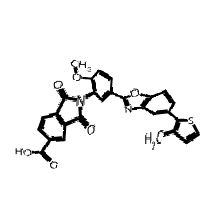 COc1ccc(-c2nc3cc(-c4sccc4C)ccc3o2)cc1N1C(=O)c2ccc(C(=O)O)cc2C1=O